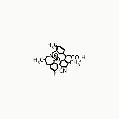 Cc1ccc(C(CC(=O)O)c2ccc(C#N)cc2C)cc1CN1CC(C)Cc2cc(F)ccc2S1(=O)=O